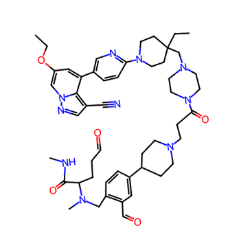 CCOc1cc(-c2ccc(N3CCC(CC)(CN4CCN(C(=O)CCN5CCC(c6ccc(CN(C)C(CCC=O)C(=O)NC)c(C=O)c6)CC5)CC4)CC3)nc2)c2c(C#N)cnn2c1